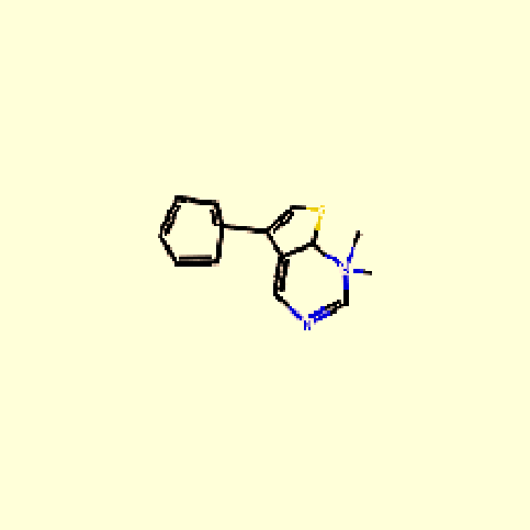 C[N+]1(C)C=NC=C2C(c3ccccc3)=CSC21